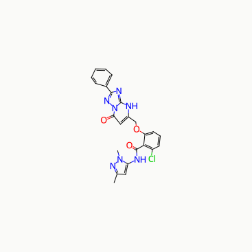 Cc1cc(NC(=O)c2c(Cl)cccc2OCc2cc(=O)n3nc(-c4ccccc4)nc3[nH]2)n(C)n1